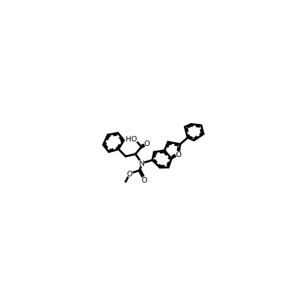 COC(=O)N(c1ccc2oc(-c3ccccc3)cc2c1)C(Cc1ccccc1)C(=O)O